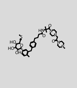 CS#CC1O[C@@H](c2ccc(C)c(Cc3ccc(CCCC(=O)NC(C)(C)C(=O)N4CCN(CC(=O)N5CCN(C)CC5)CC4)cc3)c2)[C@H](O)[C@@H](O)[C@@H]1O